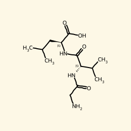 CC(C)C[C@H](NC(=O)[C@@H](NC(=O)CN)C(C)C)C(=O)O